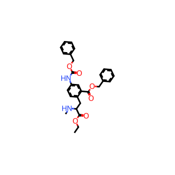 CCOC(=O)C(Cc1ccc(NC(=O)OCc2ccccc2)cc1C(=O)OCc1ccccc1)NC